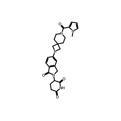 Cn1cccc1C(=O)N1CCC2(CC1)CN(c1ccc3c(c1)CN(C1CCC(=O)NC1=O)C3=O)C2